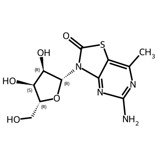 Cc1nc(N)nc2c1sc(=O)n2[C@@H]1O[C@H](CO)[C@@H](O)[C@H]1O